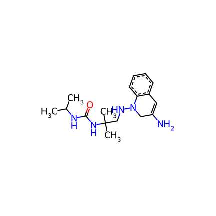 CC(C)NC(=O)NC(C)(C)CNN1CC(N)=Cc2ccccc21